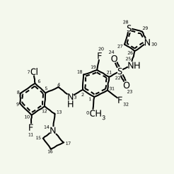 Cc1c(NCc2c(Cl)ccc(F)c2CN2CCC2)cc(F)c(S(=O)(=O)Nc2cscn2)c1F